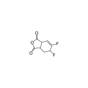 O=C1OC(=O)C2CC(F)C(F)=CC12